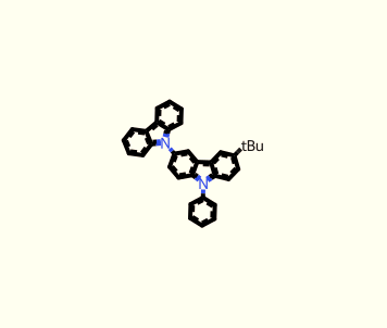 CC(C)(C)c1ccc2c(c1)c1cc(-n3c4ccccc4c4ccccc43)ccc1n2-c1ccccc1